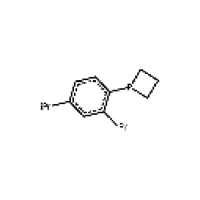 CC(C)c1ccc(P2CCC2)c(C(C)C)c1